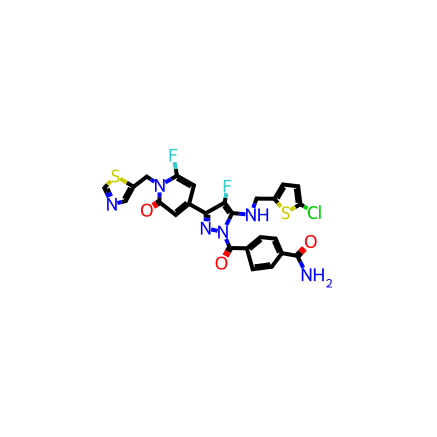 NC(=O)c1ccc(C(=O)n2nc(-c3cc(F)n(Cc4cncs4)c(=O)c3)c(F)c2NCc2ccc(Cl)s2)cc1